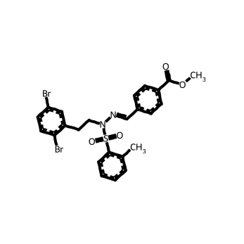 COC(=O)c1ccc(C=NN(CCc2cc(Br)ccc2Br)S(=O)(=O)c2ccccc2C)cc1